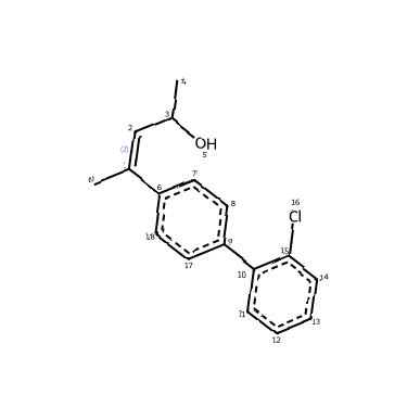 C/C(=C/C(C)O)c1ccc(-c2ccccc2Cl)cc1